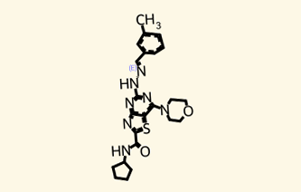 Cc1cccc(/C=N/Nc2nc(N3CCOCC3)c3sc(C(=O)NC4CCCC4)nc3n2)c1